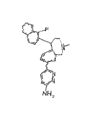 CN1CCC(c2ccc3ccccc3c2F)c2ccc(-c3ccc(N)nn3)cc2C1